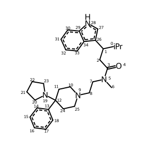 CC(C)C(CC(=O)N(C)CCN1CCC(c2ccccc2)(N2CCCC2)CC1)c1c[nH]c2ccccc12